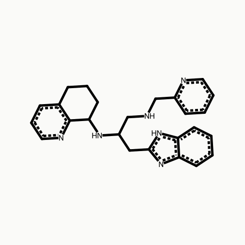 c1ccc(CNCC(Cc2nc3ccccc3[nH]2)NC2CCCc3cccnc32)nc1